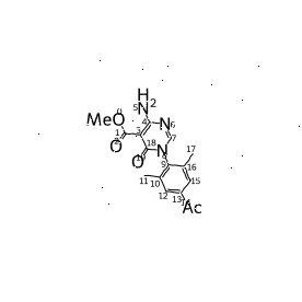 COC(=O)c1c(N)ncn(-c2c(C)cc(C(C)=O)cc2C)c1=O